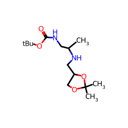 CC(CNC(=O)OC(C)(C)C)NCC1COC(C)(C)O1